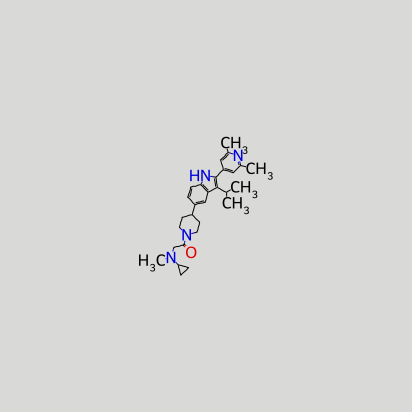 Cc1cc(-c2[nH]c3ccc(C4CCN(C(=O)CN(C)C5CC5)CC4)cc3c2C(C)C)cc(C)n1